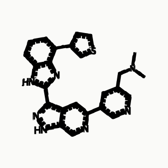 CN(C)Cc1cncc(-c2cc3c(-c4nc5c(-c6ccsc6)cccc5[nH]4)n[nH]c3cn2)c1